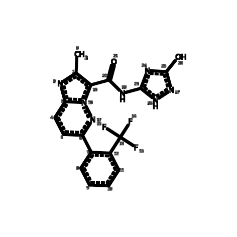 Cc1nc2ccc(-c3ccccc3C(F)(F)F)nn2c1C(=O)Nc1nc(O)n[nH]1